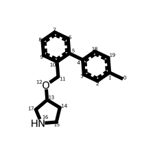 Cc1ccc(-c2ccccc2COC2CCNC2)cc1